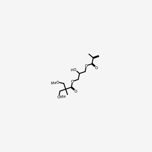 C=C(C)C(=O)OCC(O)COC(=O)C(C)(COC)COC